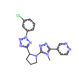 Cn1c(-c2ccnnc2)nnc1N1CCCC1c1nnn(-c2cccc(Cl)c2)n1